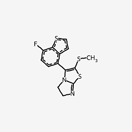 CSC1=C(c2ccc(F)c3sccc23)N2CCN=C2S1